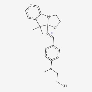 CN(CCS)c1ccc(/C=C/C23OCCN2c2ccccc2C3(C)C)cc1